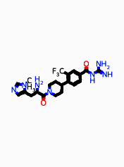 Cn1cncc1CC(N)C(=O)N1CCC(c2ccc(C(=O)NC(=N)N)cc2C(F)(F)F)CC1